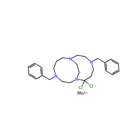 ClC1(Cl)CCN(Cc2ccccc2)CCN2CCCN(Cc3ccccc3)CCN1CC2.[Mn+2]